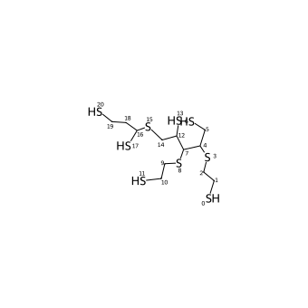 SCCSC(CS)C(SCCS)C(S)CSC(S)CCS